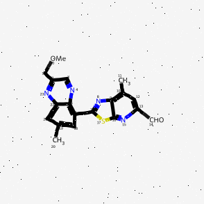 COCc1cnc2c(-c3nc4c(C)cc(C=O)nc4s3)cc(C)cc2n1